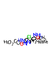 CNCC(C)(C)Oc1ccc(-c2nc3nc(O[C@H]4CC[C@H](C(=O)O)CC4)[nH]c3cc2Cl)cc1N